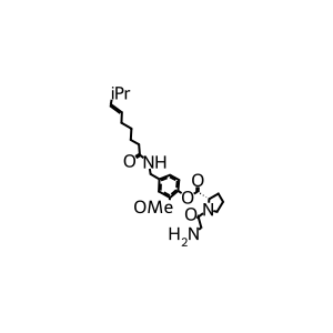 COc1cc(CNC(=O)CCCC/C=C/C(C)C)ccc1OC(=O)[C@@H]1CCCN1C(=O)CN